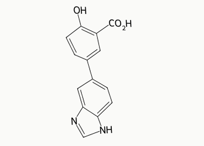 O=C(O)c1cc(-c2ccc3[nH]cnc3c2)ccc1O